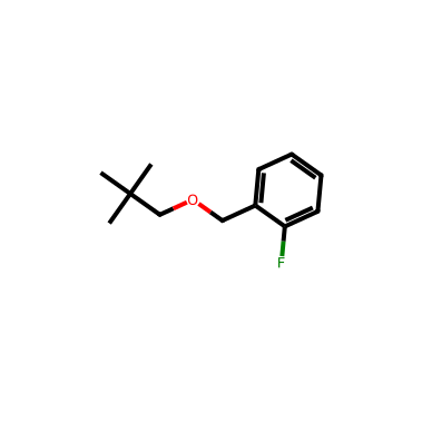 CC(C)(C)COCc1ccccc1F